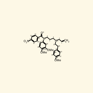 C=CCN(CCCN(C(=O)c1ccc([N+](=O)[O-])cc1)c1ccc(OC)c(OC)c1)CCc1ccc(OC)cc1